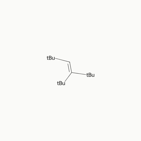 CC(C)(C)C=C(C(C)(C)C)C(C)(C)C